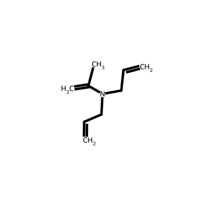 C=CCN(CC=C)C(=C)C